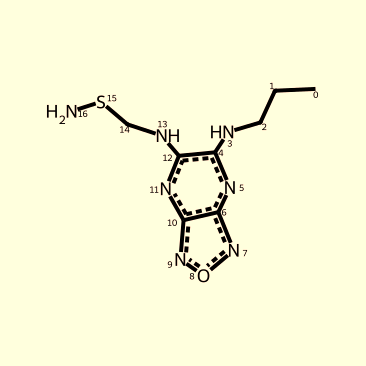 CCCNc1nc2nonc2nc1NCSN